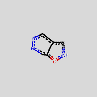 c1nnc2o[nH]cc1-2